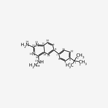 CC(C)(C)c1ccc(-c2ccc3nc(N)nc(NN)c3c2)cc1